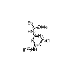 CCC(Nc1nc(Cl)nc(NC(C)C)n1)OC